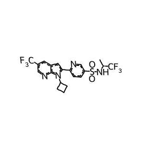 C[C@H](NS(=O)(=O)c1ccc(-c2cc3cc(C(F)(F)F)cnc3n2C2CCC2)nc1)C(F)(F)F